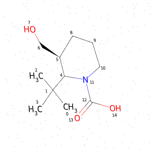 CC(C)(C)C1[C@@H](CO)CCCN1C(=O)O